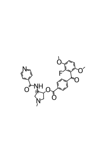 COc1ccc(OC)c(C(=O)c2ccc(C(=O)OC3CN(C)C[C@H]3NC(=O)c3ccncc3)cc2)c1F